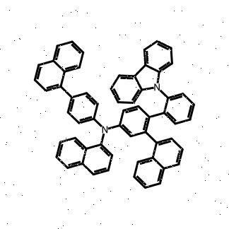 c1ccc(-n2c3ccccc3c3ccccc32)c(-c2ccc(N(c3ccc(-c4cccc5ccccc45)cc3)c3cccc4ccccc34)cc2-c2cccc3ccccc23)c1